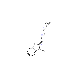 CCN1/C(=C/C=C/C=C/C(=O)O)Sc2ccccc21